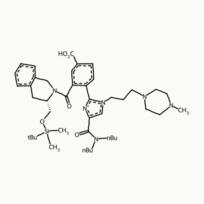 CCCCN(CCCC)C(=O)c1cn(CCCN2CCN(C)CC2)c(-c2ccc(C(=O)O)cc2C(=O)N2Cc3ccccc3C[C@H]2CO[Si](C)(C)C(C)(C)C)n1